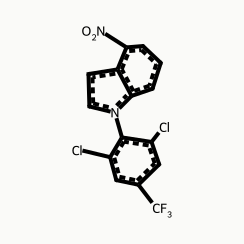 O=[N+]([O-])c1cccc2c1ccn2-c1c(Cl)cc(C(F)(F)F)cc1Cl